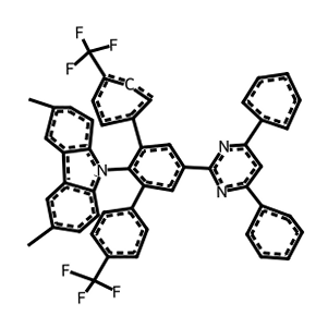 Cc1ccc2c(c1)c1cc(C)ccc1n2-c1c(-c2ccc(C(F)(F)F)cc2)cc(-c2nc(-c3ccccc3)cc(-c3ccccc3)n2)cc1-c1ccc(C(F)(F)F)cc1